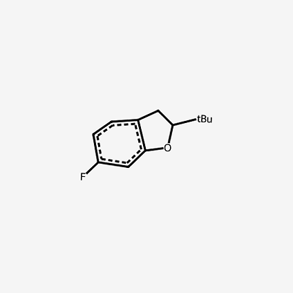 CC(C)(C)C1Cc2ccc(F)cc2O1